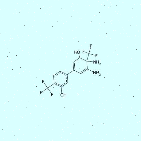 NC1=CC(c2ccc(C(F)(F)F)c(O)c2)=CC(O)C1(N)C(F)(F)F